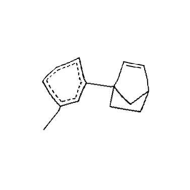 Cc1cccc(C23C=CC(CC2)C3)c1